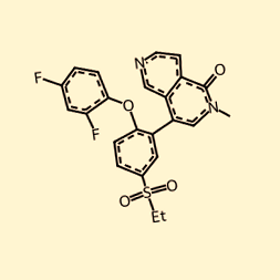 CCS(=O)(=O)c1ccc(Oc2ccc(F)cc2F)c(-c2cn(C)c(=O)c3ccncc23)c1